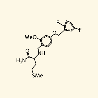 COc1cc(OCc2cc(F)ccc2F)ccc1CNC(CCSC)C(N)=O